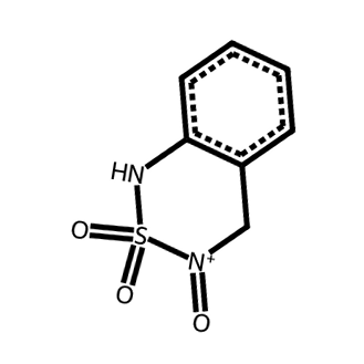 O=[N+]1Cc2ccccc2NS1(=O)=O